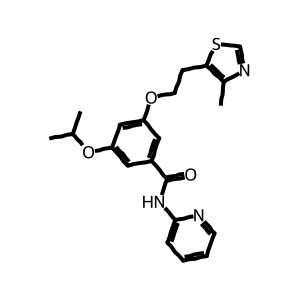 Cc1ncsc1CCOc1cc(OC(C)C)cc(C(=O)Nc2ccccn2)c1